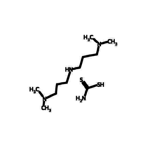 CN(C)CCCNCCCN(C)C.NC(=S)S